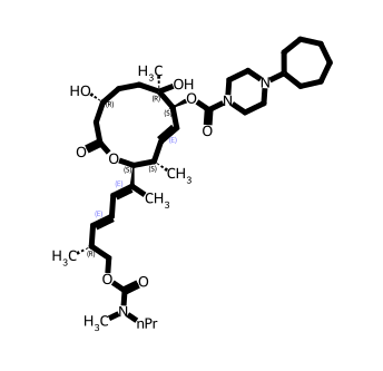 CCCN(C)C(=O)OC[C@H](C)/C=C/C=C(\C)[C@H]1OC(=O)C[C@H](O)CC[C@@](C)(O)[C@@H](OC(=O)N2CCN(C3CCCCCC3)CC2)/C=C/[C@@H]1C